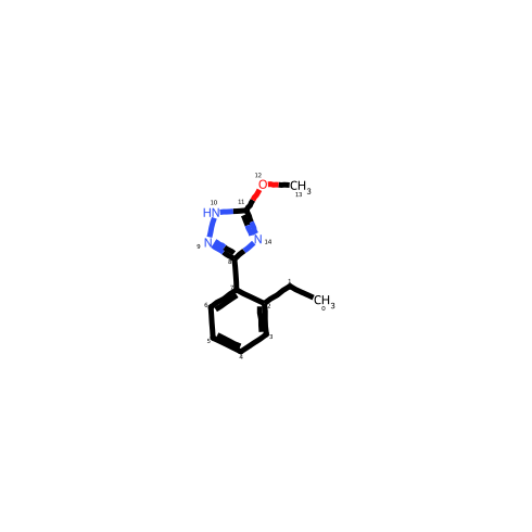 CCc1ccccc1-c1n[nH]c(OC)n1